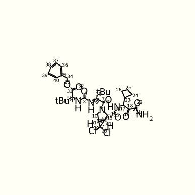 CC(C)(C)[C@H](NC(=O)N[C@H](C(=O)N1C[C@H]2[C@@H]([C@H]1C(=O)NC(C(=O)C(N)=O)C1CCC1)C2(Cl)Cl)C(C)(C)C)C(=O)OCc1ccccc1